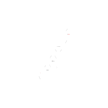 C=CC(=O)O/C=C\Oc1ccc(-c2ccc(-c3ccc(OC(=O)C(=C)C)cc3C(F)(F)F)cc2)cc1